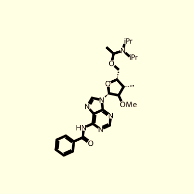 COC1[C@@H](C)[C@@H](COC(C)N(C(C)C)C(C)C)O[C@H]1n1cnc2c(NC(=O)c3ccccc3)ncnc21